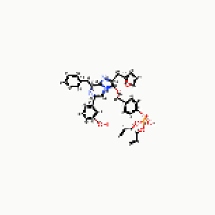 C=CCOP(=O)(OCC=C)Oc1ccc(COc2c(Cc3ccco3)nc3c(Cc4ccccc4)nc(-c4cccc(O)c4)cn23)cc1